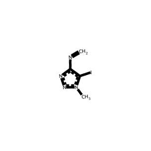 C=Nc1nnn(C)c1I